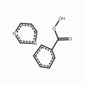 O=C(OO)c1ccccc1.c1cncnc1